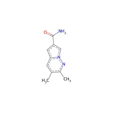 Cc1cc2cc(C(N)=O)cn2nc1C